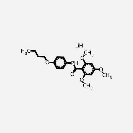 CCCCOc1ccc(PC(=O)c2c(OC)cc(OC)cc2OC)cc1.[LiH]